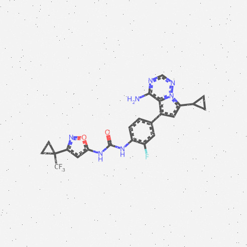 Nc1ncnn2c(C3CC3)cc(-c3ccc(NC(=O)Nc4cc(C5(C(F)(F)F)CC5)no4)c(F)c3)c12